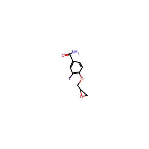 NC(=O)c1ccc(OCC2CO2)c(I)c1